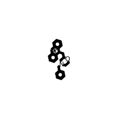 c1ccc(CN2CCOC(CC34CCC(c5ccccc53)c3ccccc34)C2)cc1